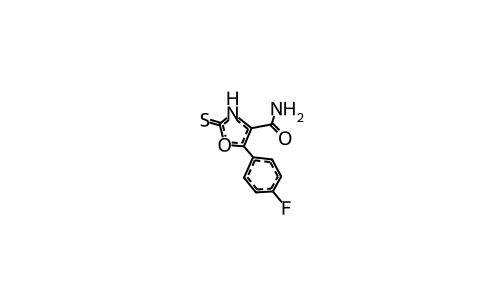 NC(=O)c1[nH]c(=S)oc1-c1ccc(F)cc1